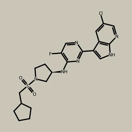 O=S(=O)(CC1CCCC1)N1CC[C@@H](Nc2nc(-c3c[nH]c4ncc(Cl)cc34)ncc2F)C1